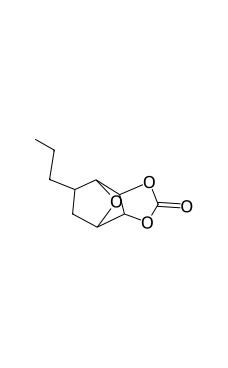 CCCC1CC2OC1C1OC(=O)OC21